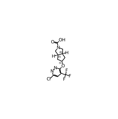 O=C(O)N1C[C@H]2C[C@H](Oc3nnc(Cl)cc3C(F)(F)F)C[C@H]2C1